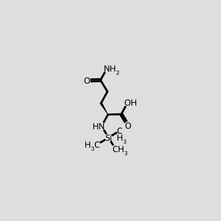 C[Si](C)(C)N[C@@H](CCC(N)=O)C(=O)O